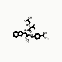 CC(C)[C@@H](NCC(=O)O)C(=O)N[C@H](C(=O)NCc1ccc(C(=N)N)cc1)C1Cc2ccccc2C1.Cl.Cl